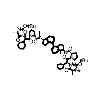 C[C@@H](C(=O)N[C@H](C(=O)N1CCC[C@H]1C(=O)N[C@@H]1CCc2c(-c3cccc4c3CC[C@H]4NC(=O)[C@@H]3CCCN3C(=O)[C@@H](NC(=O)[C@H](C)N(C)C(=O)OC(C)(C)C)C3CCCCC3)cccc21)C1CCCCC1)N(C)C(=O)OC(C)(C)C